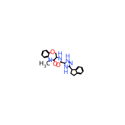 CN1C(=O)C(NC(=O)C2NN=C(C3CCc4ccccc43)N2)COc2ccccc21